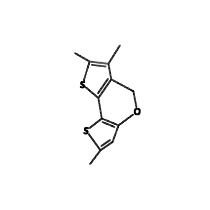 Cc1cc2c(s1)-c1sc(C)c(C)c1CO2